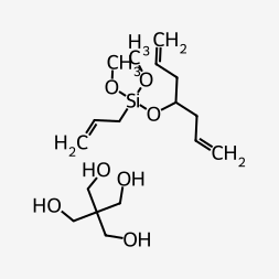 C=CCC(CC=C)O[Si](CC=C)(OC)OC.OCC(CO)(CO)CO